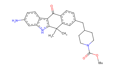 CC(C)(C)OC(=O)N1CCC(Cc2ccc3c(c2)C(C)(C)c2[nH]c4cc(N)ccc4c2C3=O)CC1